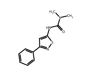 CN(C)C(=O)Nc1cc(-c2ccccc2)ns1